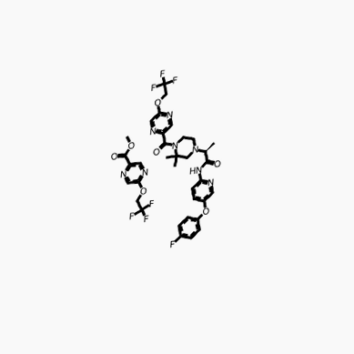 COC(=O)c1cnc(OCC(F)(F)F)cn1.C[C@@H](C(=O)Nc1ccc(Oc2ccc(F)cc2)cn1)N1CCN(C(=O)c2cnc(OCC(F)(F)F)cn2)C(C)(C)C1